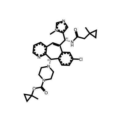 Cn1cncc1[C@H](NC(=O)CC1(C)CC1)C1=Cc2cccnc2[C@@H](N2CCN(C(=O)OC3(C)CC3)CC2)c2ccc(Cl)cc21